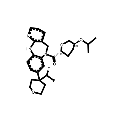 CC(C)O[C@H]1CC[C@H](C(=O)N2Cc3cccnc3Nc3ccc(C4(C(F)F)CCOCC4)cc32)OC1